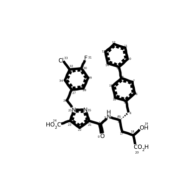 O=C(N[C@H](Cc1ccc(-c2ccccc2)cc1)CC(O)C(=O)O)c1cc(C(=O)O)n(Cc2ccc(F)c(Cl)c2)n1